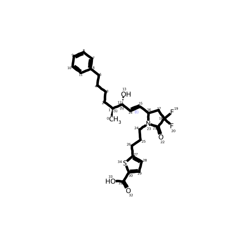 C[C@@H](CCCCc1ccccc1)[C@H](O)/C=C/C1CC(F)(F)C(=O)N1CCCc1ccc(C(=O)O)s1